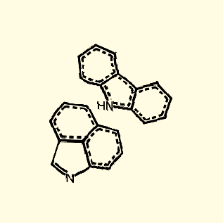 C1=Nc2cccc3cccc1c23.c1ccc2c(c1)[nH]c1ccccc12